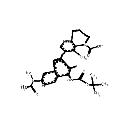 Cc1c(-c2cc3cc(N(C)C(N)=O)ncc3c(NC(=O)OC(C)(C)C)c2F)cnc2c1N(C(=O)O)CCC2